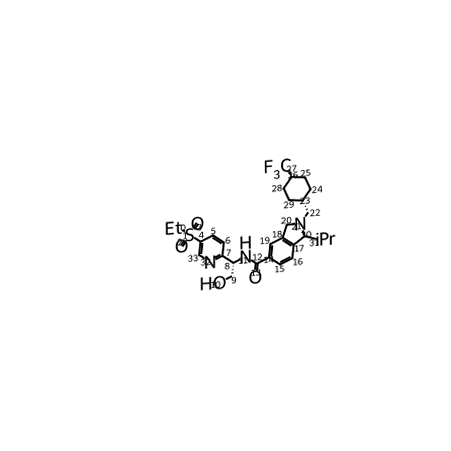 CCS(=O)(=O)c1ccc([C@@H](CO)NC(=O)c2ccc3c(c2)CN(C[C@H]2CC[C@H](C(F)(F)F)CC2)C3C(C)C)nc1